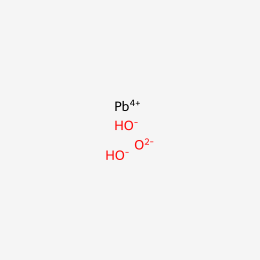 [O-2].[OH-].[OH-].[Pb+4]